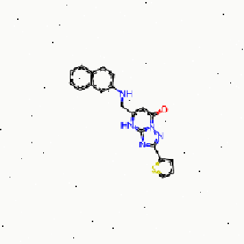 O=c1cc(CNc2ccc3ccccc3c2)[nH]c2nc(-c3cccs3)nn12